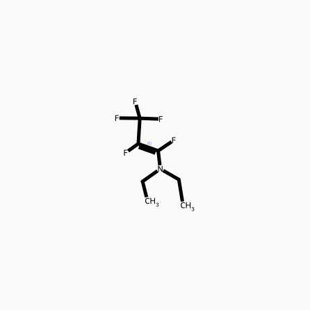 CCN(CC)/C(F)=C(\F)C(F)(F)F